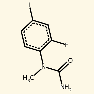 CN(C(N)=O)c1ccc(I)cc1F